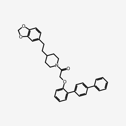 O=C(COc1ccccc1-c1ccc(-c2ccccc2)cc1)N1CCC(CCc2ccc3c(c2)OCO3)CC1